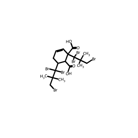 CC(C)(CBr)C(Br)(Br)C1CC=CC(C(=O)O)(C(Br)(Br)C(C)(C)CBr)C1C(=O)O